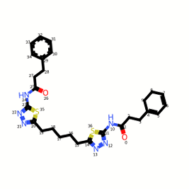 O=C(CCC1=CC=CCC1)Nc1nnc(CCCCCc2nnc(NC(=O)CCc3ccccc3)s2)s1